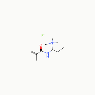 C=C(C)C(=O)NC(CC)[N+](C)(C)C.[F-]